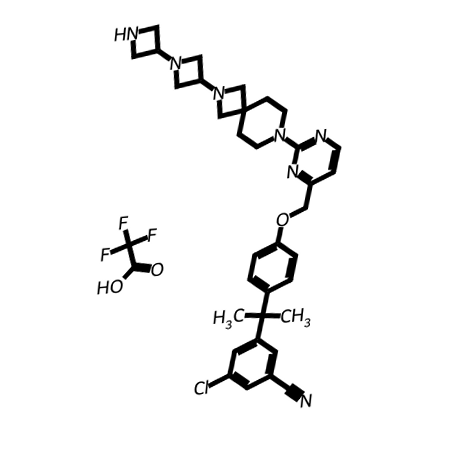 CC(C)(c1ccc(OCc2ccnc(N3CCC4(CC3)CN(C3CN(C5CNC5)C3)C4)n2)cc1)c1cc(Cl)cc(C#N)c1.O=C(O)C(F)(F)F